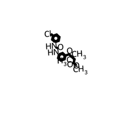 COC(=O)CC(C)(C)C(=O)c1cccc(NC(=O)Nc2cccc(Cl)c2)c1